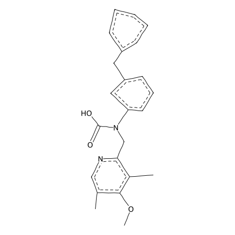 COc1c(C)cnc(CN(C(=O)O)c2cccc(Cc3ccccc3)c2)c1C